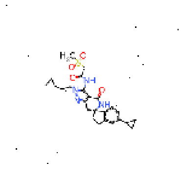 CS(=O)(=O)CC(=O)Nc1c2c(nn1CCC1CC1)C[C@@]1(CCc3cc(C4CC4)ccc31)NC2=O